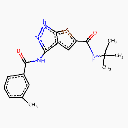 Cc1cccc(C(=O)Nc2n[nH]c3sc(C(=O)NC(C)(C)C)cc23)c1